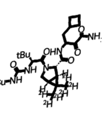 [2H]C([2H])([2H])C1(C([2H])([2H])[2H])[C@@H]2[C@@H](C(=O)NC(CC3CCC3)C(=O)C(N)=O)N(C(=O)[C@@H](NC(=O)NC(C)(C)C)C(C)(C)C)C[C@@H]21